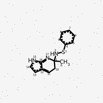 CC1(NSc2ccccc2)CC=c2cc[nH]c2=N1